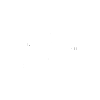 CCOC(=O)c1cnc2c(c1Cl)CSC2